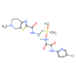 CN1CCc2nc(C(=O)N[C@@H](CNC(=O)C(=O)Nc3ccc(Cl)cn3)CS(C)(=O)=O)sc2C1.Cl